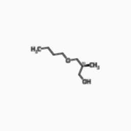 CCCCOC[C@@H](C)CO